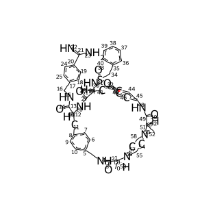 C[C@H]1C(=O)Nc2ccc(cc2)C[C@@H](C(=O)NCc2ccc(C(=N)N)cc2)NC(=O)[C@H](NS(=O)(=O)Cc2ccccc2)Cc2ccc(cc2)NC(=O)[C@H](C)N2CCN1CC2